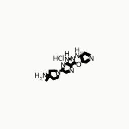 CC1(N)CCN(c2cnc3c(Oc4cnccc4N)n[nH]c3n2)CC1.Cl